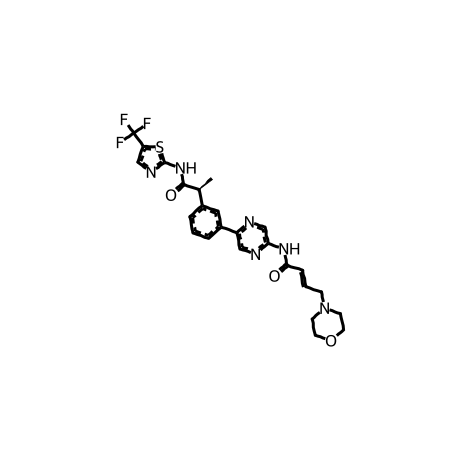 C[C@H](C(=O)Nc1ncc(C(F)(F)F)s1)c1cccc(-c2cnc(NC(=O)/C=C/CN3CCOCC3)cn2)c1